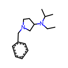 CCN(C(C)C)C1CCN(Cc2ccccc2)C1